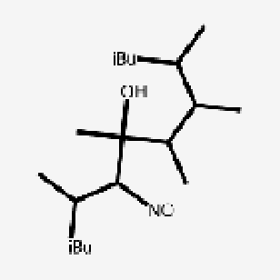 CCC(C)C(C)C(C)C(C)C(C)(O)C(N=O)C(C)C(C)CC